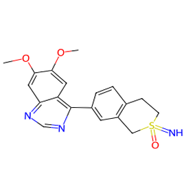 COc1cc2ncnc(-c3ccc4c(c3)CS(=N)(=O)CC4)c2cc1OC